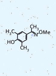 CO/N=C(\C)c1cc(C)c(O)c(C)c1